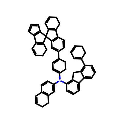 C1=CC2=C(C=1)C1(C3=C(CCC=C3)c3ccc(C4=CC=C(N(c5ccc6c(c5)CCC=C6)c5cccc6c5Cc5c(C7=CC=CCC7)cccc5-6)CC4)cc31)C1=C2C=CCC1